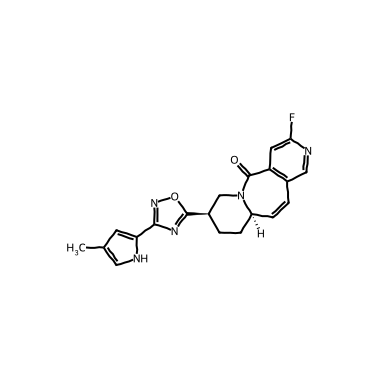 Cc1c[nH]c(-c2noc([C@@H]3CC[C@@H]4C=Cc5cnc(F)cc5C(=O)N4C3)n2)c1